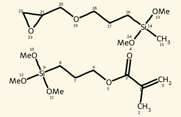 C=C(C)C(=O)OCCC[Si](OC)(OC)OC.CO[Si](C)(CCCOCC1CO1)OC